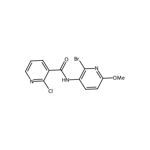 COc1ccc(NC(=O)c2cccnc2Cl)c(Br)n1